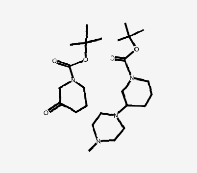 CC(C)(C)OC(=O)N1CCCC(=O)C1.CN1CCN(C2CCCN(C(=O)OC(C)(C)C)C2)CC1